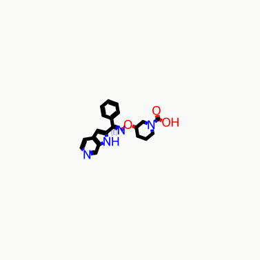 O=C(O)N1CCCC(O/N=C(\c2ccccc2)c2cc3ccncc3[nH]2)C1